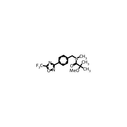 COC(C)(C)C(=O)N(C)Cc1ccc(-c2noc(C(F)(F)F)n2)cc1